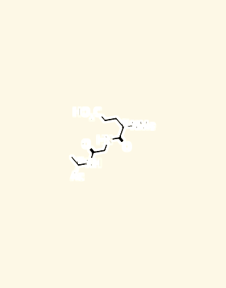 CN[C@H](CCC(=O)O)C(=O)NCC(=O)N[C@@H](C)C(C)=O